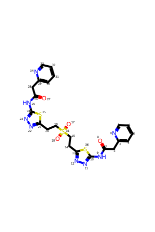 O=C(Cc1ccccn1)Nc1nnc(CCS(=O)(=O)CCc2nnc(NC(=O)Cc3ccccn3)s2)s1